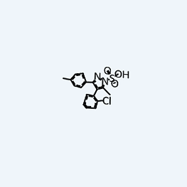 Cc1ccc(-c2nn(S(=O)(=O)O)c(C)c2-c2ccccc2Cl)cc1